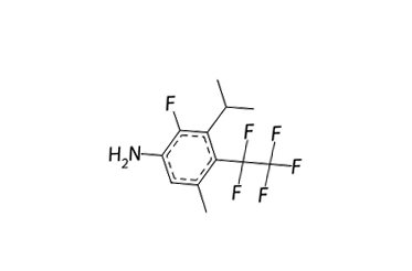 Cc1cc(N)c(F)c(C(C)C)c1C(F)(F)C(F)(F)F